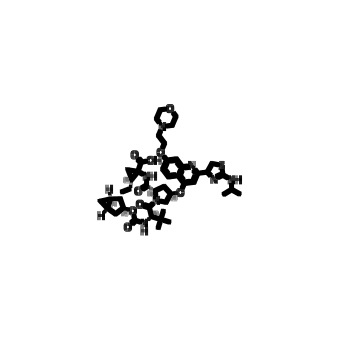 CC[C@@H]1CC1(NC(=O)[C@@H]1C[C@@H](Oc2cc(C3CSC(NC(C)C)=N3)nc3cc(OCCN4CCOCC4)ccc23)CN1C(=O)[C@@H](NC(=O)O[C@@H]1C[C@@H]2C[C@@H]2C1)C(C)(C)C)C(=O)O